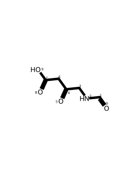 O=CNCC(=O)CC(=O)O